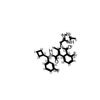 Cc1nnc(Cn2c(C)c(C(=O)N[C@H](c3cccc(F)c3)C3CCC3)c3cccc(F)c3c2=O)[nH]1